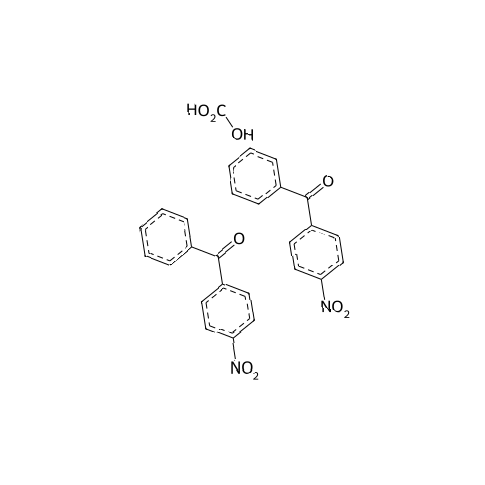 O=C(O)O.O=C(c1ccccc1)c1ccc([N+](=O)[O-])cc1.O=C(c1ccccc1)c1ccc([N+](=O)[O-])cc1